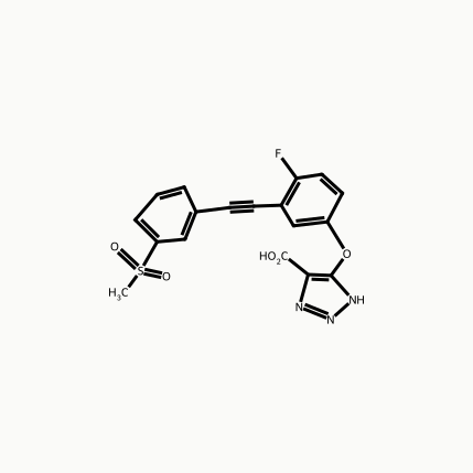 CS(=O)(=O)c1cccc(C#Cc2cc(Oc3[nH]nnc3C(=O)O)ccc2F)c1